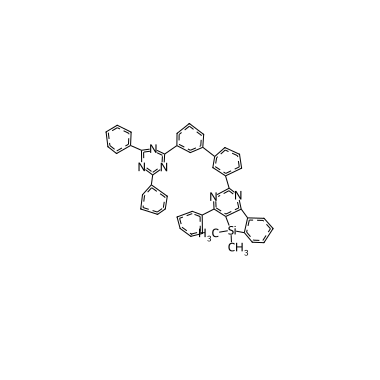 C[Si]1(C)c2ccccc2-c2nc(-c3cccc(-c4cccc(-c5nc(-c6ccccc6)nc(-c6ccccc6)n5)c4)c3)nc(-c3ccccc3)c21